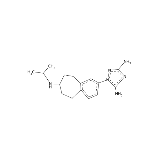 CC(C)N[C@H]1CCc2ccc(-n3nc(N)nc3N)cc2CC1